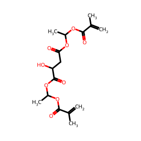 C=C(C)C(=O)OC(C)OC(=O)CC(O)C(=O)OC(C)OC(=O)C(=C)C